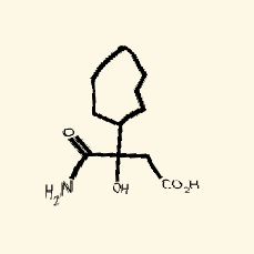 NC(=O)C(O)(CC(=O)O)C1CCCCC1